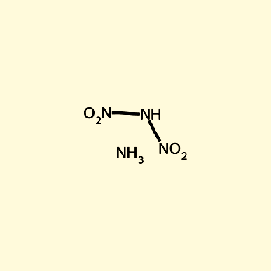 N.O=[N+]([O-])N[N+](=O)[O-]